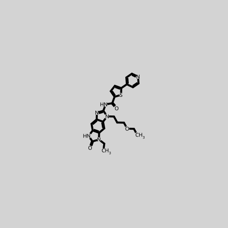 CCOCCCn1c(NC(=O)c2ccc(-c3ccncc3)s2)nc2cc3[nH]c(=O)n(CC)c3cc21